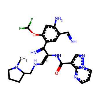 CN1CCCC1CN/C=C(/NC(=O)c1cnn2cccnc12)C(=N)c1cc(C=N)c(N)cc1OC(F)F